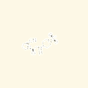 CS(=O)(=O)N1CCC(NCC(=O)N2CCC[C@H]2C#N)CC1